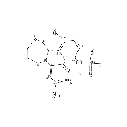 Cc1cc(N2CCCOC[C@@H]2c2cc(NS(C)(=O)=O)ccc2Cl)nc(N)n1